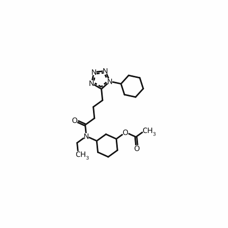 CCN(C(=O)CCCc1nnnn1C1CCCCC1)C1CCCC(OC(C)=O)C1